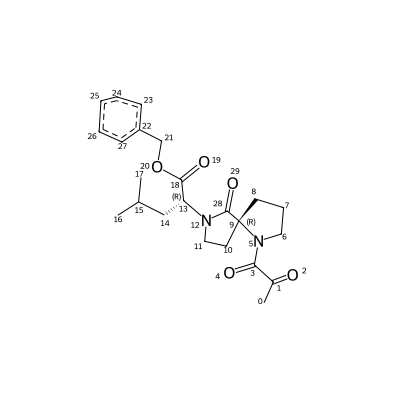 CC(=O)C(=O)N1CCC[C@]12CCN([C@H](CC(C)C)C(=O)OCc1ccccc1)C2=O